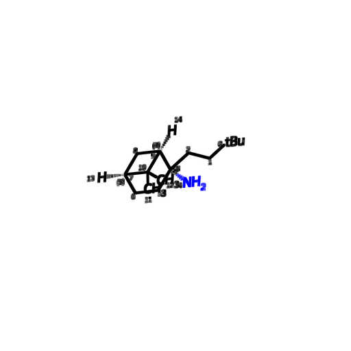 CC(C)(C)CC[C@@]1(N)CC[C@H]2C[C@@H]1C2(C)C